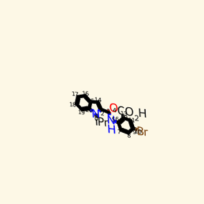 CC(C)n1c(C(=O)Nc2ccc(Br)cc2C(=O)O)cc2ccccc21